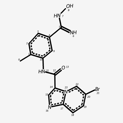 Cc1ccc(C(=N)NO)cc1NC(=O)c1cnc2ccc(Br)cn12